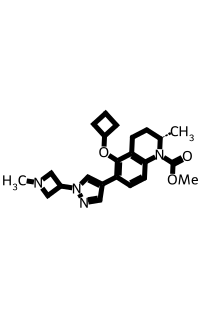 COC(=O)N1c2ccc(-c3cnn(C4CN(C)C4)c3)c(OC3CCC3)c2CC[C@@H]1C